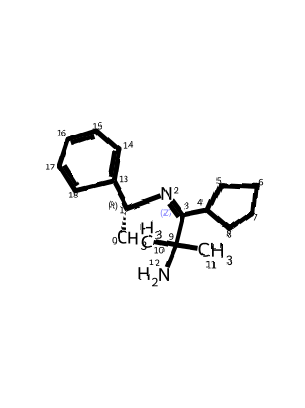 C[C@@H](/N=C(/C1CCCC1)C(C)(C)N)c1ccccc1